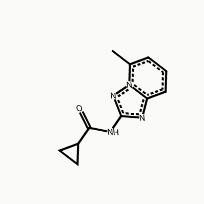 Cc1cccc2nc(NC(=O)C3CC3)nn12